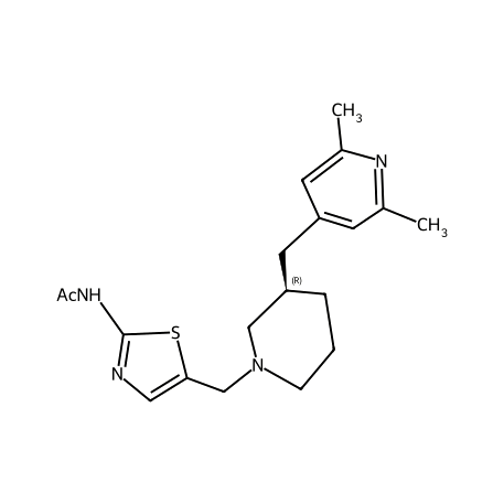 CC(=O)Nc1ncc(CN2CCC[C@H](Cc3cc(C)nc(C)c3)C2)s1